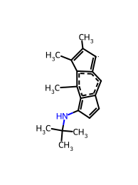 CC1=C(C)c2c(C)c3c(cc2=[C]1)C=CC=3NC(C)(C)C